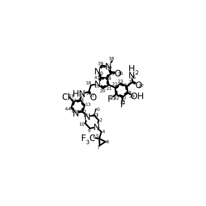 C[C@H]1CN(CC2(C(F)(F)F)CC2)CCN1c1cc(NC(=O)Cn2cc(-c3cc(C(N)=O)c(O)c(F)c3F)c3c(=O)n(C)cnc32)c(Cl)cn1